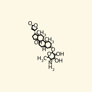 CC1OC(O[C@H]2CCC3(C)C4CCC5(C)[C@@H](C6=CC(=O)OC6)CC[C@]5(O)C4CC[C@@H]3C2)[C@@H](O)[C@@H](O)[C@H]1N